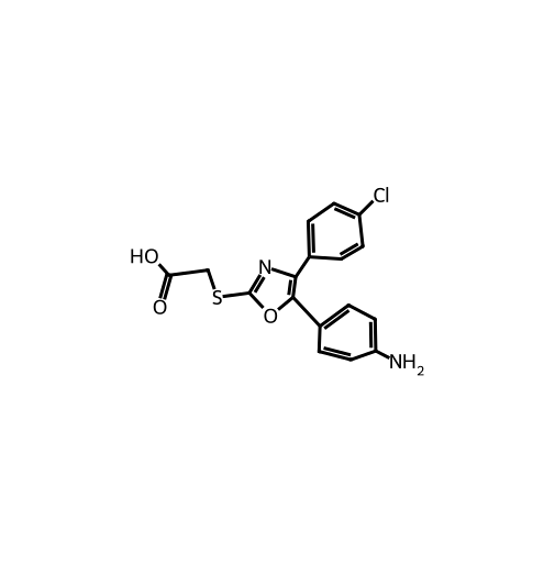 Nc1ccc(-c2oc(SCC(=O)O)nc2-c2ccc(Cl)cc2)cc1